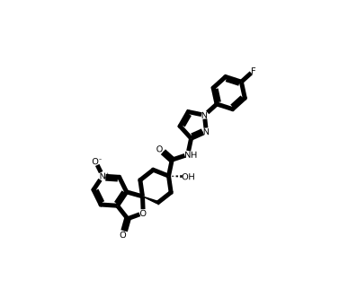 O=C1O[C@]2(CC[C@](O)(C(=O)Nc3ccn(-c4ccc(F)cc4)n3)CC2)c2c[n+]([O-])ccc21